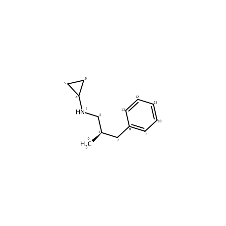 C[C@@H](CNC1CC1)Cc1ccccc1